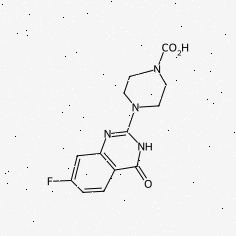 O=C(O)N1CCN(c2nc3cc(F)ccc3c(=O)[nH]2)CC1